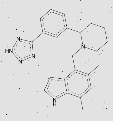 Cc1cc(C)c2[nH]ccc2c1CN1CCCCC1c1cccc(-c2nn[nH]n2)c1